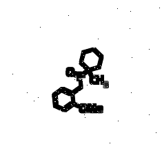 COc1ccccc1C[P](=O)C1(C)CCCCC1